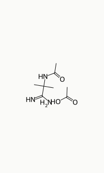 CC(=O)NC(C)(C)C(=N)N.CC(=O)O